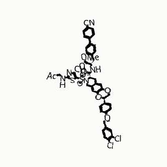 COC(=O)[C@H](Cc1ccc(-c2ccc(C#N)cc2)cc1)NC(=O)[C@@H]1Cc2cc3c(cc2CN1S(=O)(=O)c1sc(NCC(C)=O)nc1C)O[C@H](c1ccc(OCc2ccc(Cl)c(Cl)c2)cc1)CO3